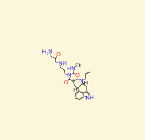 C=CCN1C[C@H](C(=O)N(CCCNCC(=O)CN)C(=O)NCC)C[C@@H]2c3cccc4[nH]cc(c34)C[C@H]21